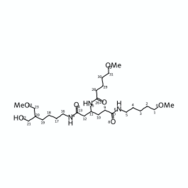 COCCCCCNC(=O)CCC(CC(=O)NCCCCC(CO)COC)NC(=O)CCCCOC